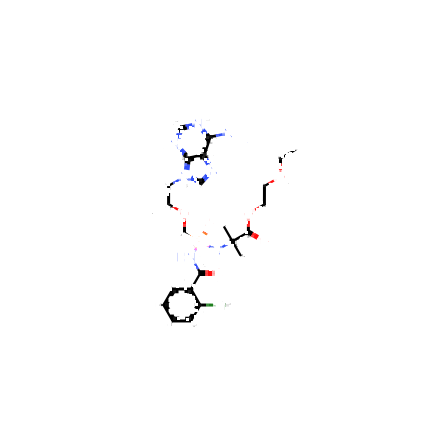 CCOCCOC(=O)C(C)(C)N[P@](=O)(CO[C@H](C)Cn1cnc2c(N)ncnc21)NC(=O)c1ccccc1Cl